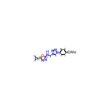 COc1ccc(-n2cc(CNc3nnc(C4CC4)o3)nn2)cc1